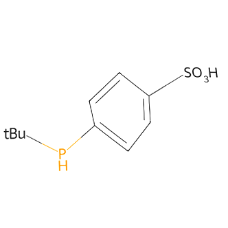 CC(C)(C)Pc1ccc(S(=O)(=O)O)cc1